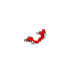 CNc1nc(-c2cnc3ccccc3c2)nc2c1CCN(C(=O)c1ccc(COc3ccc(C#CCN4CCN(CCCCNc5cccc6c5C(=O)N(C5CCC(=O)NC5=O)C6=O)CC4)cc3)cc1)C2